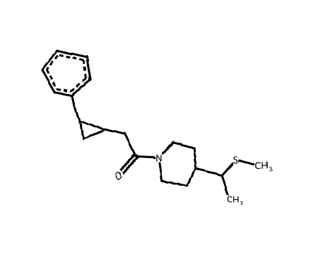 CSC(C)C1CCN(C(=O)CC2CC2c2ccccc2)CC1